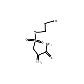 C=C(CS(=O)(=O)OCCC)C(N)=O